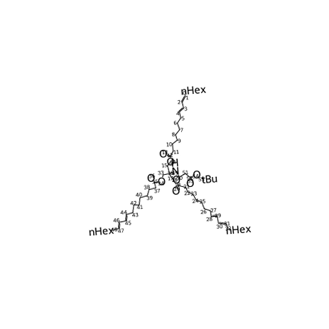 CCCCCC/C=C/C=C/CCCCCCCC(=O)OCC(COC(=O)CCCCCCC/C=C/C=C/CCCCCC)(COC(=O)CCCCCCC/C=C/C=C/CCCCCC)NCCC(=O)OC(C)(C)C